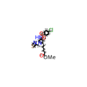 COC(=O)CCCC=C[C@@H]1C[C@@H](NS(=O)(=O)c2ccc(Cl)cc2)CN1Cc1cscn1